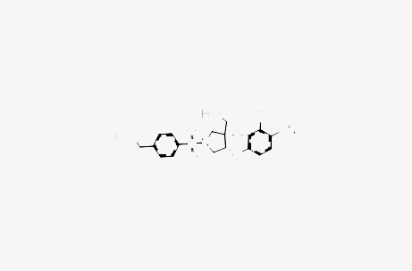 N#Cc1ccc(O[C@H]2CN(S(=O)(=O)c3ccc(CC(F)(F)F)cc3)C[C@@]2(O)CO)cc1F